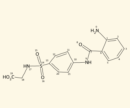 Nc1ccccc1C(=O)Nc1ccc(S(=O)(=O)NCC(=O)O)cc1